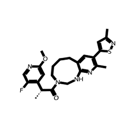 COc1cc([C@@H](C)C(=O)N2CCCCc3cc(-c4cc(C)ns4)c(C)nc3NC2)c(F)cn1